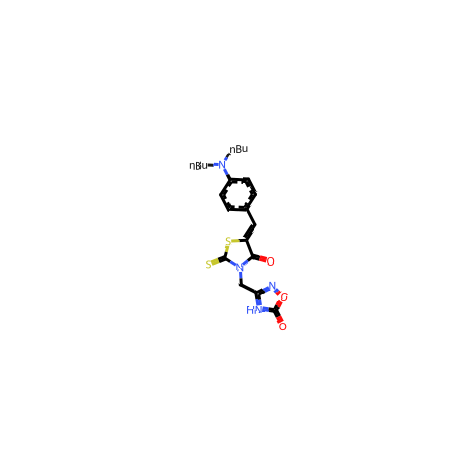 CCCCN(CCCC)c1ccc(/C=C2\SC(=S)N(Cc3noc(=O)[nH]3)C2=O)cc1